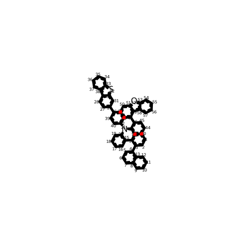 c1ccc(-c2cccc3ccccc23)c(-c2ccccc2N(c2ccc(-c3ccc4c(c3)sc3ccccc34)cc2)c2ccccc2-c2cccc3oc4ccccc4c23)c1